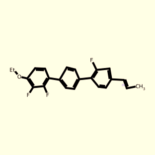 C/C=C/c1ccc(-c2ccc(-c3ccc(OCC)c(F)c3F)cc2)c(F)c1